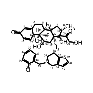 C[C@@H]1C[C@H]2[C@@H]3CCC4=CC(=O)C=C[C@]4(C)[C@@]3(F)[C@@H](O)C[C@]2(C)[C@@]1(O)C(=O)CO.Clc1ccccc1CN1CCc2sccc2C1